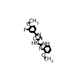 COc1ccc(-c2nnc(Nc3nc4c(OC)cccc4[nH]3)o2)cc1F